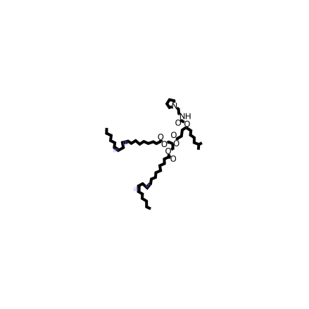 CCCCC/C=C\C/C=C\CCCCCCCC(=O)OCC(COC(=O)CCCCCCC/C=C\C/C=C\CCCCC)OC(=O)CCC(CCCCC(C)C)OC(=O)NCCN1CCCC1